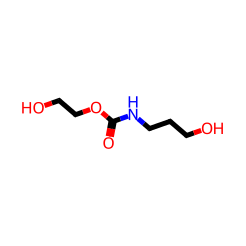 O=C(NCCCO)OCCO